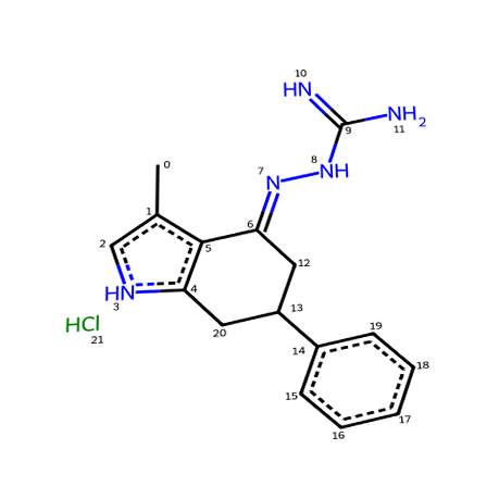 Cc1c[nH]c2c1C(=NNC(=N)N)CC(c1ccccc1)C2.Cl